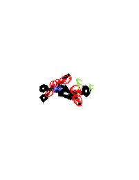 CCOC(=O)[C@@H]1Cc2c(ccc(OC)c2OCc2ccc(F)cc2F)CN1C(=O)[C@@H](OC1CCCC1)c1ccccc1